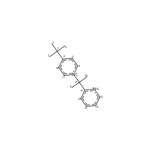 CC(C)(C)c1cc[n+](C(C)(C)c2ccccn2)cc1